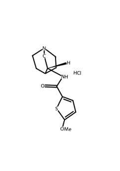 COc1ccc(C(=O)N[C@H]2CN3CCC2CC3)s1.Cl